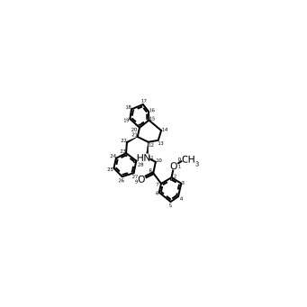 COc1ccccc1C(=O)CN[C@@H]1CCc2ccccc2[C@@H]1Cc1ccccc1